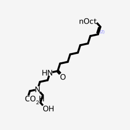 CCCCCCCC/C=C\CCCCCCCC(=O)NCCN(CCO)CC(=O)O